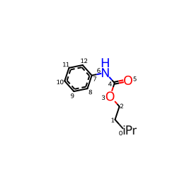 CC(C)CCOC(=O)Nc1ccccc1